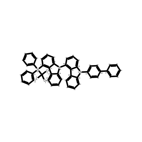 CC(C)(C)[Si](c1ccccc1)(c1ccccc1)c1cccc2c1c1ccccc1n2-c1cccc2c1c1ccccc1n2-c1ccc(-c2ccccc2)cc1